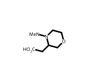 CNN1CCOCC1CC(=O)O